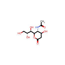 CC(=O)N[C@@H]1C(O)CC(=O)OC1[C@H](O)[C@H](O)CO